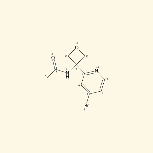 CC(=O)NC1(c2cc(Br)ccn2)COC1